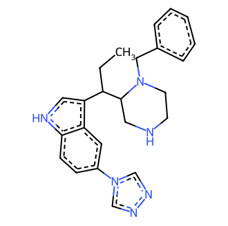 CCC(c1c[nH]c2ccc(-n3cnnc3)cc12)C1CNCCN1Cc1ccccc1